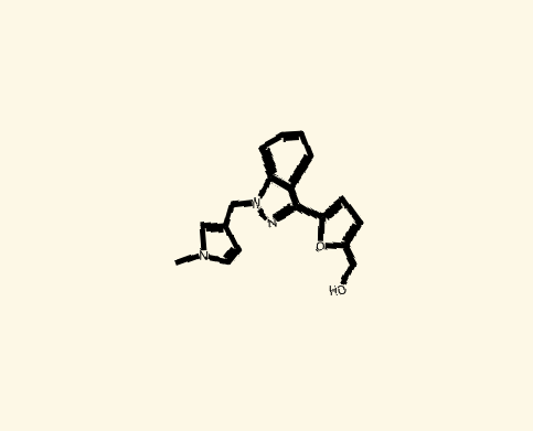 Cn1ccc(Cn2nc(-c3ccc(CO)o3)c3ccccc32)c1